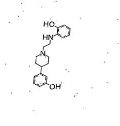 Oc1cccc(C2CCN(CCNc3ccccc3O)CC2)c1